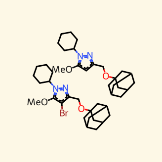 COc1c(Br)c(COC23CC4CC(CC(C4)C2)C3)nn1C1CCCCC1.COc1cc(COC23CC4CC(CC(C4)C2)C3)nn1C1CCCCC1